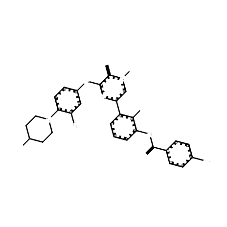 Cc1c(NC(=O)c2ccc(C(C)(C)C)cc2)cccc1-c1cn(C)c(=O)c(Nc2ccc(N3CCC(O)CC3)c(N)c2)n1